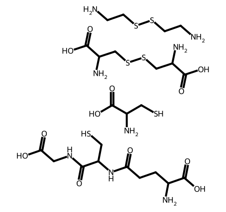 NC(CCC(=O)NC(CS)C(=O)NCC(=O)O)C(=O)O.NC(CS)C(=O)O.NC(CSSCC(N)C(=O)O)C(=O)O.NCCSSCCN